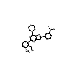 N=Cc1c(N)cccc1-c1nc(N2CCOCC2)c2oc(-c3cccc([SH](=O)=O)c3)cc2n1